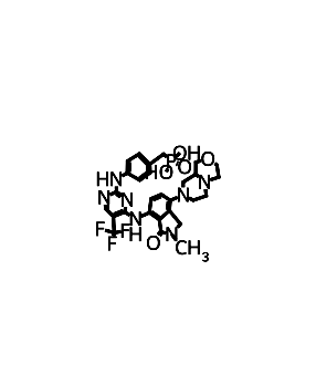 CN1Cc2c(N3CCN4CCOCC4C3)ccc(Nc3nc(Nc4ccc(CP(=O)(O)O)cc4)ncc3C(F)(F)F)c2C1=O